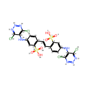 O=S(=O)(O)c1cc(Nc2c(Cl)nnnc2Cl)ccc1C=Cc1ccc(Nc2c(Cl)nnnc2Cl)cc1S(=O)(=O)O